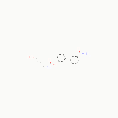 CC(CCCO)NC(=O)Oc1cccc(-c2cccc(C(N)=O)c2)c1